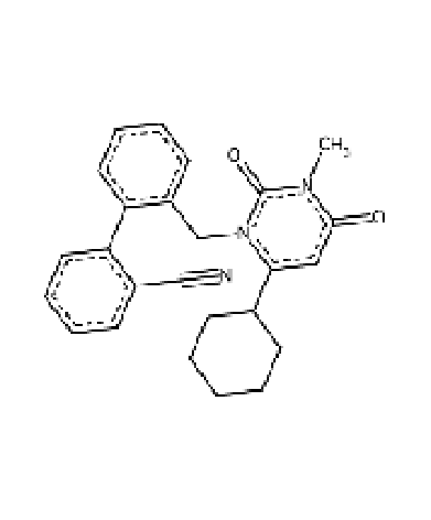 Cn1c(=O)cc(C2CCCCC2)n(Cc2ccccc2-c2ccccc2C#N)c1=O